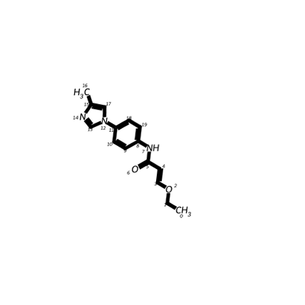 CCOC=CC(=O)Nc1ccc(-n2cnc(C)c2)cc1